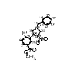 COC(=O)c1ccc(F)c([C@H]2CN(Cc3ccccc3)C[C@@H]2[N+](=O)[O-])c1